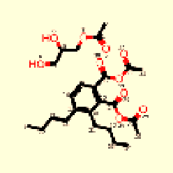 CC(=O)OCC(O)CO.CCCCc1ccc(C(=O)OC(C)=O)c(C(=O)OC(C)=O)c1CCCC